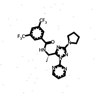 C[C@H](NC(=O)c1cc(C(F)(F)F)cc(C(F)(F)F)c1)c1nc(N2CCCC2)nn1-c1ncccn1